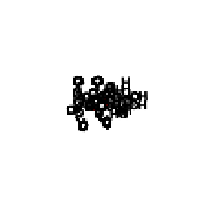 O=C(OCc1ccccc1)N1C[C@H](OCc2ccccc2)[C@H](O[C@H]2O[C@H](COCc3ccccc3)[C@@H](O[C@@H]3O[C@H](CO)[C@@H](O[C@@H]4O[C@H](CO)[C@@H](O)[C@H](O)[C@H]4O)[C@H](O)[C@H]3O)[C@H](OCc3ccccc3)[C@H]2OCc2ccccc2)[C@@H]1COCc1ccccc1